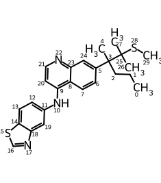 CCCC(C)(c1ccc2c(Nc3ccc4scnc4c3)ccnc2c1)C(C)(C)SC